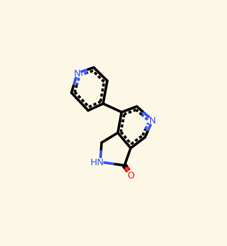 O=C1NCc2c1cncc2-c1ccncc1